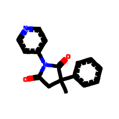 CC1(c2ccccc2)CC(=O)N(c2ccncc2)C1=O